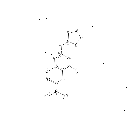 CCCN(CCC)C(=O)Cc1c(Cl)cc(CN2CCCC2)cc1Cl